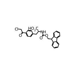 O=C(N[C@@H](Cc1ccc(C(=O)CCl)cc1)C(=O)O)OCC1c2ccccc2-c2ccccc21